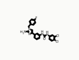 Nc1nc(-c2cccc(NC(=O)Nc3ccc(Cl)c(Cl)c3)c2)cn1Cc1ccc(F)cc1